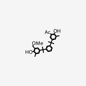 COCc1cc(C(C)(C)c2cccc(C(C)(C)c3cc(C)c(O)c(C(C)=O)c3)c2)cc(C)c1O